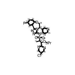 CC(C)OC(c1ncc(Cl)cn1)C(C)S(=O)(=O)Nc1nnc2n1[C@H](c1cccnc1)COc1ccc(F)cc1-2